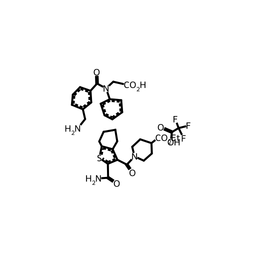 CCOC(=O)C1CCN(C(=O)c2c(C(N)=O)sc3c2CCCC3)CC1.NCc1cccc(C(=O)N(CC(=O)O)c2ccccc2)c1.O=C(O)C(F)(F)F